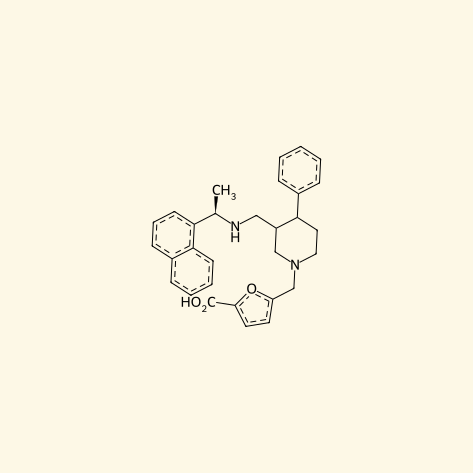 C[C@@H](NCC1CN(Cc2ccc(C(=O)O)o2)CCC1c1ccccc1)c1cccc2ccccc12